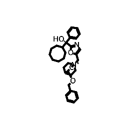 O[C@](c1ccccc1)(c1ncc(C[N+]23CCC(CC2)C(OCc2ccccc2)C3)o1)C1CCCCCCC1